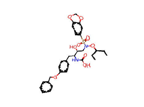 CCC(CC)ON(C[C@H](O)[C@H](Cc1ccc(OCc2ccccc2)cc1)NC(=O)O)S(=O)(=O)c1ccc2c(c1)OCO2